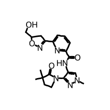 Cn1cc(NC(=O)c2cccc(C3=NOC(CO)C3)n2)c(N2CCC(C)(C)C2=O)n1